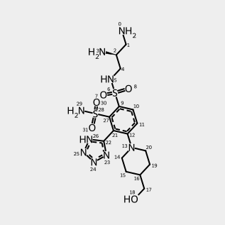 NC[C@H](N)CNS(=O)(=O)c1ccc(N2CCC(CO)CC2)c(-c2nnn[nH]2)c1S(N)(=O)=O